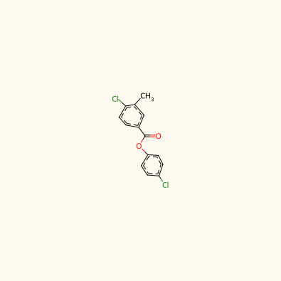 Cc1cc(C(=O)Oc2ccc(Cl)cc2)ccc1Cl